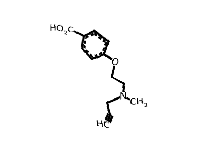 C#CCN(C)CCOc1ccc(C(=O)O)cc1